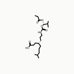 CCC(=O)O[C@@H](OC(=O)NCCC[C@H](CCCC(C)C)CCC(=O)O)C(C)C